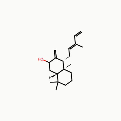 C=C/C(C)=C/C[C@H]1C(=C)C(O)C[C@H]2C(C)(C)CCC[C@]12C